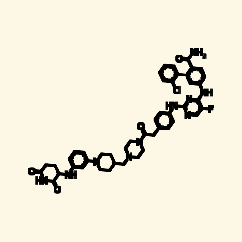 NC(=O)c1ccc(Nc2nc(Nc3ccc(CC(=O)N4CCN(CC5CCN(c6cccc(NC7CCC(=O)NC7=O)c6)CC5)CC4)cc3)ncc2F)cc1-c1ccccc1Cl